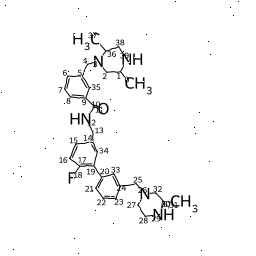 CC1CN(Cc2cccc(C(=O)NCc3ccc(F)c(-c4cccc(CN5CCN[C@@H](C)C5)c4)c3)c2)C(C)CN1